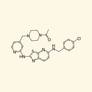 CC(=O)N1CCN(Cc2ccnc(Nc3nc4ccc(NCc5ccc(Cl)cc5)nc4s3)c2)CC1